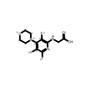 O=C(O)CNc1nc(F)c(F)c(N2CCOCC2)c1F